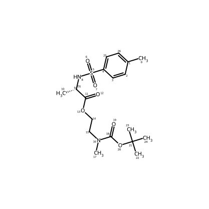 Cc1ccc(S(=O)(=O)N[C@@H](C)C(=O)OCCN(C)C(=O)OC(C)(C)C)cc1